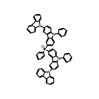 O=P(c1ccccc1)(c1ccc2c(c1)c1cc(-n3c4ccccc4c4ccccc43)ccc1n2-c1ccccc1)c1ccc2c(c1)c1cc(-n3c4ccccc4c4ccccc43)ccc1n2-c1ccccc1